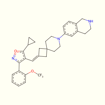 FC(F)(F)Oc1ccccc1-c1noc(C2CC2)c1C=C1CC2(CCN(c3ccc4c(c3)CCNC4)CC2)C1